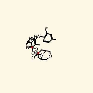 Cc1ccc(Nc2ncnc(OC3CC4COCC(C3)N4C(=O)OCC3CCC3)c2C)c(F)c1